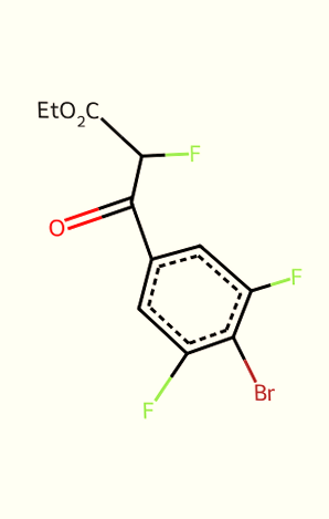 CCOC(=O)C(F)C(=O)c1cc(F)c(Br)c(F)c1